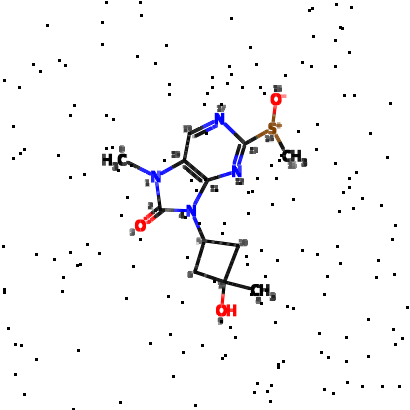 Cn1c(=O)n(C2CC(C)(O)C2)c2nc([S+](C)[O-])ncc21